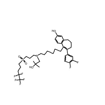 CC(C)(O)CN(CCCCCCC1=C(c2ccc(F)c(F)c2)CCCc2cc(O)ccc21)CCCS(=O)(=O)CCCC(F)(F)C(F)(F)F